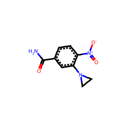 NC(=O)c1ccc([N+](=O)[O-])c(N2CC2)c1